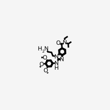 CCN(C(=O)c1ccc2nc(Nc3cc(OC)c(OC)c(OC)c3)n(CCCN)c2c1)C(C)C